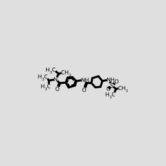 CC(C)N(C(=O)c1ccc(NC(=O)C2CCC(NS(=O)(=O)C(C)C)CC2)cc1)C(C)C